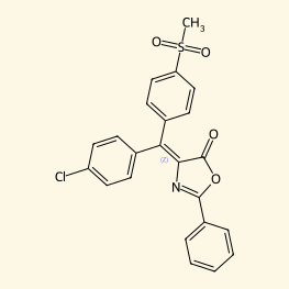 CS(=O)(=O)c1ccc(/C(=C2/N=C(c3ccccc3)OC2=O)c2ccc(Cl)cc2)cc1